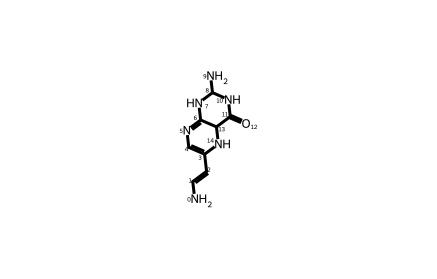 NC=CC1=CN=C2NC(N)NC(=O)C2N1